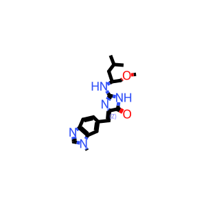 COCC(CC(C)C)NC1=N/C(=C\c2ccc3ncn(C)c3c2)C(=O)N1